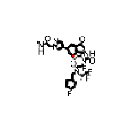 CNC(=O)Cn1cc(-c2ccc3c(c2)C(=O)C[C@]32NC(=O)N(CC(=O)N(Cc3ccc(F)cc3)[C@@H](C)C(F)(F)F)C2=O)cn1